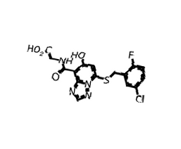 O=C(O)CNC(=O)c1c(O)cc(SCc2cc(Cl)ccc2F)n2ncnc12